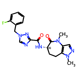 CN1C(=O)[C@@H](NC(=O)c2ncn(Cc3ccccc3F)n2)CCc2c1cnn2C